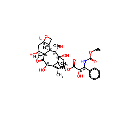 CCCCOC(=O)N[C@@H](c1ccccc1)[C@@H](O)C(=O)O[C@H]1C[C@@]2(O)[C@@H](O)[C@@H]3[C@]4(OC(C)=O)CO[C@@H]4C[C@H](O)[C@@]3(C)C(=O)[C@H](O)C(=C1C)C2(C)C